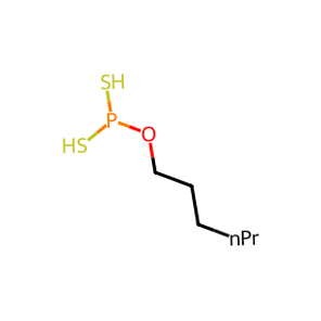 CCCCCCOP(S)S